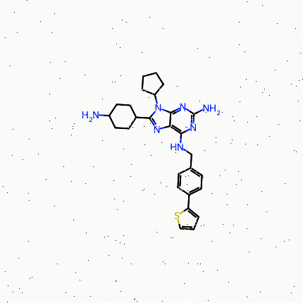 Nc1nc(NCc2ccc(-c3cccs3)cc2)c2nc(C3CCC(N)CC3)n(C3CCCC3)c2n1